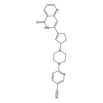 N#Cc1ccc(N2CCN(C3C=C(c4cc5ncccc5c(=O)[nH]4)CC3)CC2)nc1